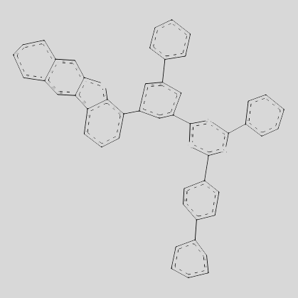 c1ccc(-c2ccc(-c3nc(-c4ccccc4)nc(-c4cc(-c5ccccc5)cc(-c5cccc6c5oc5cc7ccccc7cc56)c4)n3)cc2)cc1